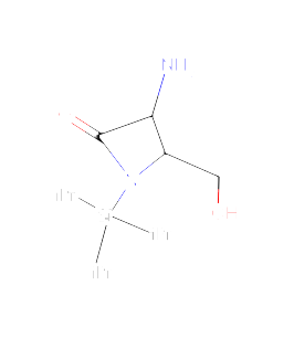 CC(C)[Si](C(C)C)(C(C)C)N1C(=O)C(N)C1CO